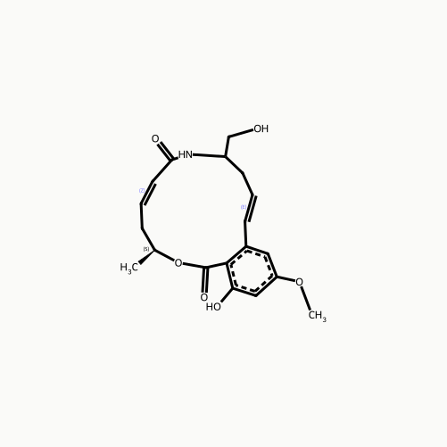 COc1cc(O)c2c(c1)/C=C/CC(CO)NC(=O)/C=C\C[C@H](C)OC2=O